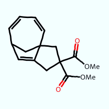 COC(=O)C1(C(=O)OC)CC2=CC3C=CC=CC2(C3)C1